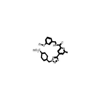 CCOc1cccc(CNC(=O)c2cc(-c3nnn(CC4CCC(C(=O)O)CC4)n3)cc(C)n2)c1